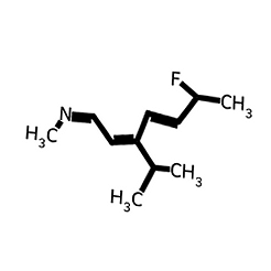 C\N=C/C=C(\C=C\C(C)F)C(C)C